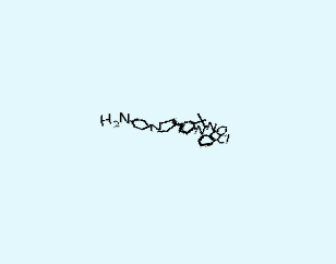 CC1(C)c2cc(C3CCN(C4CCC(N)CC4)CC3)ccc2-n2c1nc(=O)c1c(Cl)cccc12